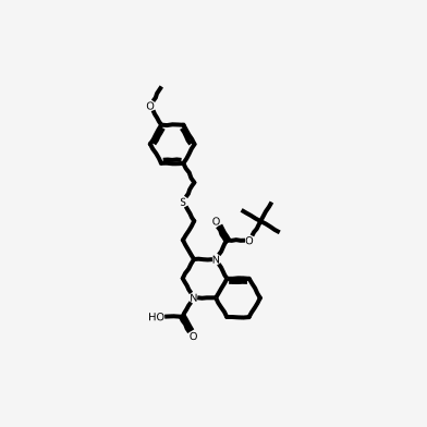 COc1ccc(CSCCC2CN(C(=O)O)C3CCCC=C3N2C(=O)OC(C)(C)C)cc1